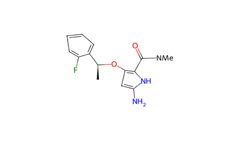 CNC(=O)c1[nH]c(N)cc1O[C@@H](C)c1ccccc1F